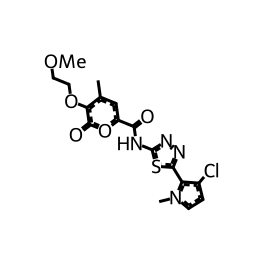 COCCOc1c(C)cc(C(=O)Nc2nnc(-c3c(Cl)ccn3C)s2)oc1=O